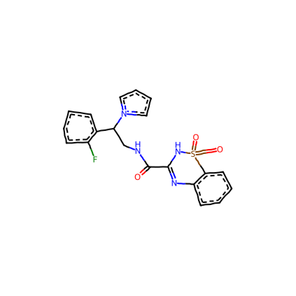 O=C(NCC(c1ccccc1F)n1cccc1)C1=Nc2ccccc2S(=O)(=O)N1